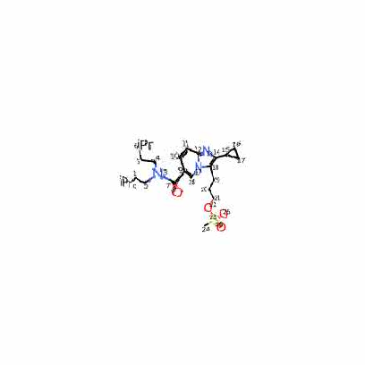 CC(C)CCN(CCC(C)C)C(=O)c1ccc2nc(C3CC3)c(CCCOS(C)(=O)=O)n2c1